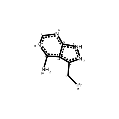 CC(C)Cc1n[nH]c2ncnc(N)c12